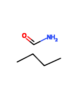 CCCC.NC=O